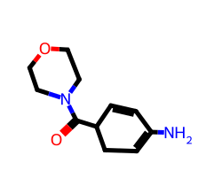 NC1=CCC(C(=O)N2CCOCC2)C=C1